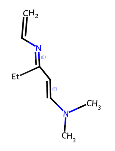 C=C/N=C(/C=C/N(C)C)CC